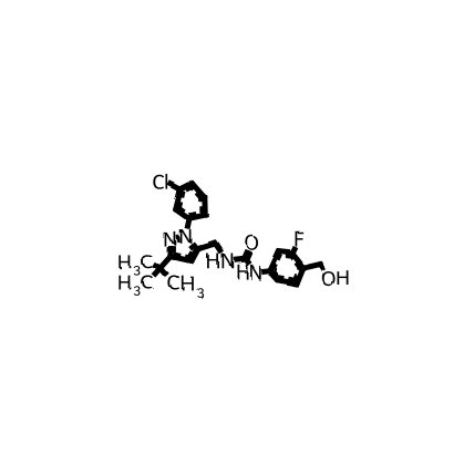 CC(C)(C)c1cc(CNC(=O)Nc2ccc(CO)c(F)c2)n(-c2cccc(Cl)c2)n1